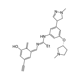 C#Cc1cc(O)c(=C)/c(=C\N=C(/CC)Nc2cc(O[C@@H]3CCN(C)C3)cc(C3C=NN(C)C3)c2)c1